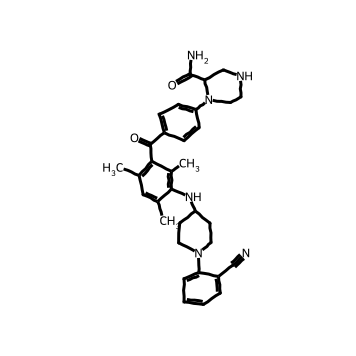 Cc1cc(C)c(C(=O)c2ccc(N3CCNCC3C(N)=O)cc2)c(C)c1NC1CCN(c2ccccc2C#N)CC1